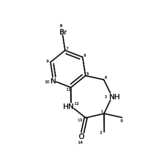 CC1(C)NCc2cc(Br)cnc2NC1=O